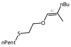 CCCCCSCCO/C=C(\C)CCCC